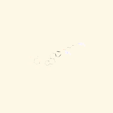 C[C@]12CC[C@@H]3c4ccc(OC(N)CCCCCN)cc4CC[C@H]3[C@@H]1C[C@@H](OC1O[C@H](C(=O)O)[C@@H](O)[C@H](O)[C@H]1O)[C@@H]2O